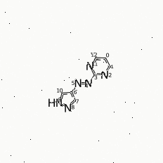 c1cnc(N=Nc2cn[nH]c2)nc1